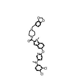 CN(c1ccc(Oc2ccc3c(c2)cc(C(=O)N2CCN(Cc4ccc5c(c4)OCO5)CC2)n3C)nc1)c1ccc(Cl)c(Cl)c1